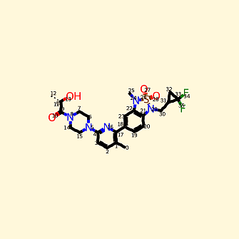 Cc1ccc(N2CCN(C(=O)[C@H](C)O)CC2)nc1-c1ccc2c(c1)N(C)S(=O)(=O)N2CC1CC1(F)F